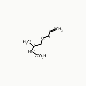 C=CCOC[C@H](C)NC(=O)O